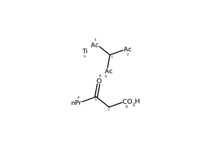 CC(=O)C(C(C)=O)C(C)=O.CCCC(=O)CC(=O)O.[Ti]